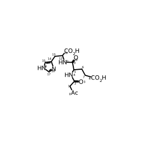 CC(=O)CC(=O)NC(CCC(=O)O)C(=O)NC(Cc1c[nH]cn1)C(=O)O